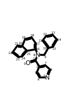 O=C(c1ccncc1)N(Cc1ccccc1)c1cccc2ccccc12